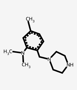 Cc1ccc(CN2CCNCC2)c(N(C)C)c1